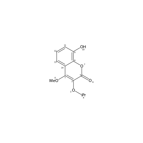 COc1c(OC(C)C)c(=O)oc2c(O)cccc12